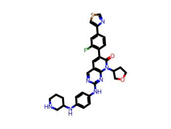 O=c1c(-c2ccc(-c3cscn3)cc2F)cc2cnc(Nc3ccc(NC4CCCNC4)cc3)nc2n1C1CCOC1